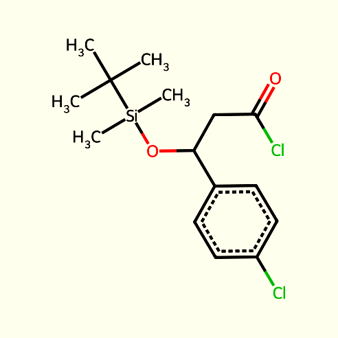 CC(C)(C)[Si](C)(C)OC(CC(=O)Cl)c1ccc(Cl)cc1